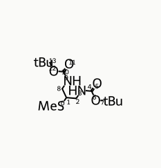 CSC(CNC(=O)OC(C)(C)C)CNC(=O)OC(C)(C)C